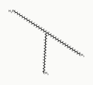 CCCCCCCCCCCCCCCCCCCCCCCCCCCCN(CCCCCCCCCCCCCCCCCCCCCCCCCCCC)CCCCCCCCCCCCCCCCCCCCCCCCCCCC